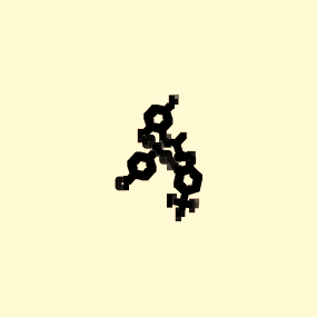 CC(c1nc2cc(C(F)(F)F)ccc2s1)N(c1cc(F)ccc1F)S(=O)(=O)c1ccc(Cl)cc1